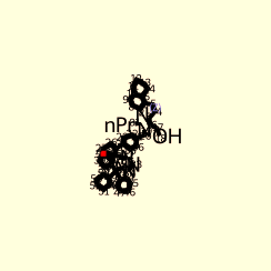 CCCc1nc(/C=C\c2cccc3ccccc23)c(CO)n1Cc1ccc(-c2ccccc2-c2nnnn2C(c2ccccc2)(c2ccccc2)c2ccccc2)cc1